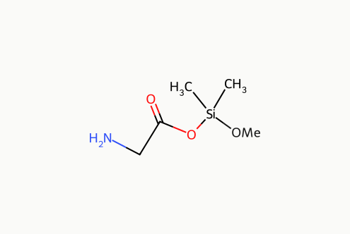 CO[Si](C)(C)OC(=O)CN